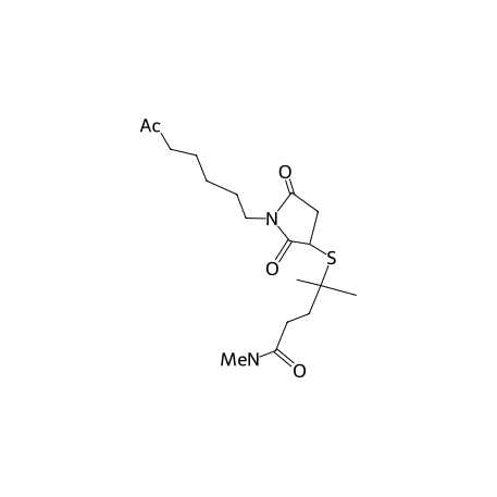 CNC(=O)CCC(C)(C)SC1CC(=O)N(CCCCCC(C)=O)C1=O